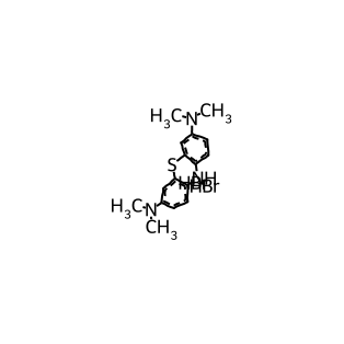 Br.Br.CN(C)c1ccc2c(c1)Sc1cc(N(C)C)ccc1N2